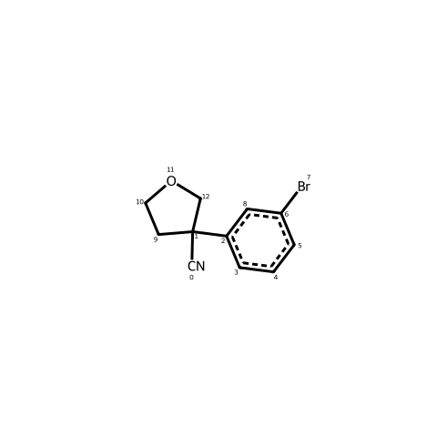 N#CC1(c2cccc(Br)c2)CCOC1